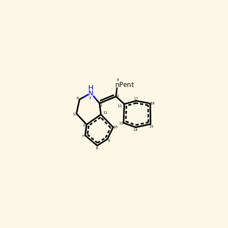 CCCCCC(=C1NCCc2ccccc21)c1ccccc1